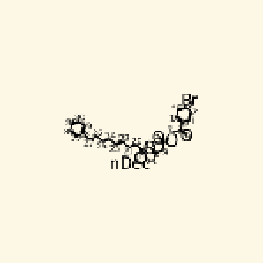 CCCCCCCCCCC[C@H](CC(=O)OCC(=O)c1ccc(Br)cc1)OC(=O)CCCCCCCCc1ccccc1